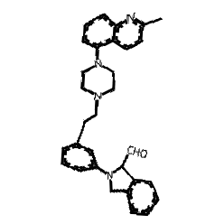 Cc1ccc2c(N3CCN(CCc4cccc(N5Cc6ccccc6C5C=O)c4)CC3)cccc2n1